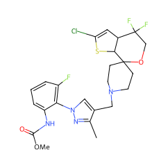 COC(=O)Nc1cccc(F)c1-n1cc(CN2CCC3(CC2)OCC(F)(F)C2C=C(Cl)SC23)c(C)n1